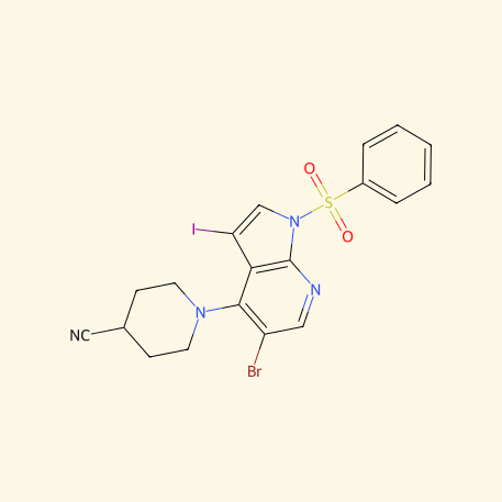 N#CC1CCN(c2c(Br)cnc3c2c(I)cn3S(=O)(=O)c2ccccc2)CC1